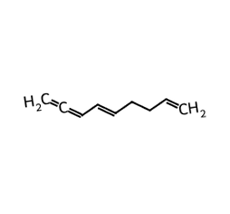 C=C=CC=CCCC=C